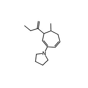 C=C(CC)C1C=C(N2CCCC2)C=CCC1C